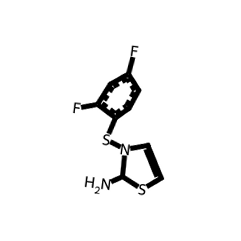 NC1SC=CN1Sc1ccc(F)cc1F